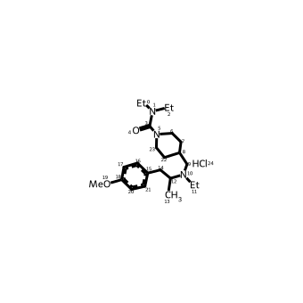 CCN(CC)C(=O)N1CCC(CN(CC)C(C)Cc2ccc(OC)cc2)CC1.Cl